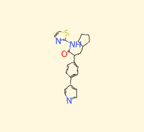 O=C(Nc1nccs1)C(CC1CCCC1)c1ccc(-c2ccncc2)cc1